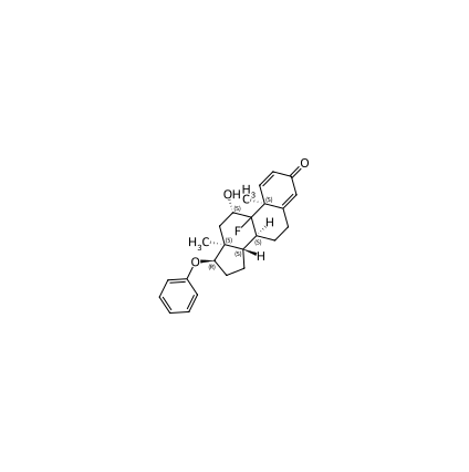 C[C@]12C[C@H](O)C3(F)[C@@H](CCC4=CC(=O)C=C[C@@]43C)[C@@H]1CC[C@H]2Oc1ccccc1